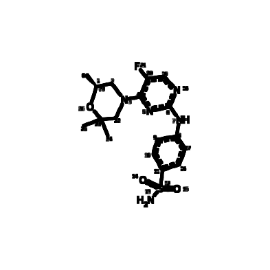 C[C@H]1CN(c2nc(Nc3ccc(S(N)(=O)=O)cc3)ncc2F)CC(C)(C)O1